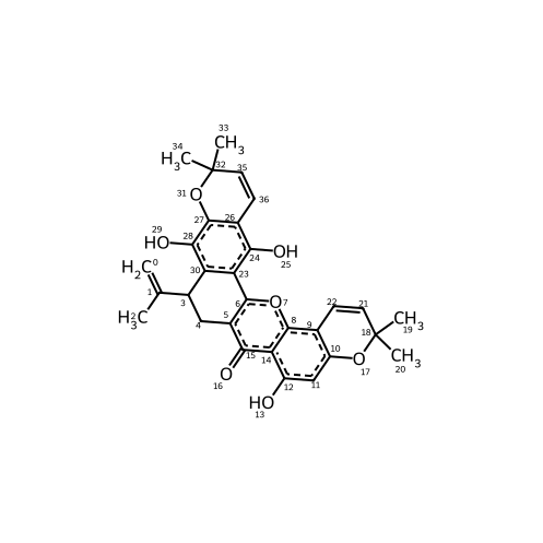 C=C(C)C1Cc2c(oc3c4c(cc(O)c3c2=O)OC(C)(C)C=C4)-c2c(O)c3c(c(O)c21)OC(C)(C)C=C3